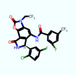 O=C(Nc1cc2c(oc(=O)n2CC(F)(F)F)c2c1[C@@H](c1cc(F)ccc1Cl)NC2=O)c1cc(F)cc(C(F)(F)F)c1